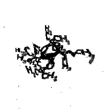 CCC[SiH2]C(=O)C(O[Si](C)(C)C)=C(O[Si](C)(C)C)O[Si](C)(C)C